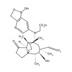 C=C[C@]1(C)C[C@@H](N(CC(=O)O)c2cnc3c(c2)B(O)OC3)[C@]2(C)[C@H](C)CC[C@]3(CCC(=O)[C@H]32)[C@@H](C)[C@@H]1O